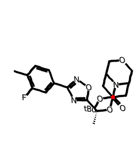 Cc1ccc(-c2noc([C@@H](C)OC3CC4COCC(C3)N4C(=O)OC(C)(C)C)n2)cc1F